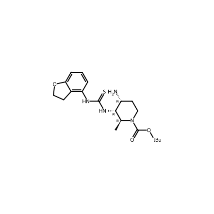 C[C@H]1[C@H](NC(=S)Nc2cccc3c2CCO3)[C@H](N)CCN1C(=O)OC(C)(C)C